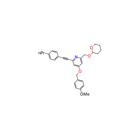 CCCc1ccc(C#Cc2cc(OCc3ccc(OC)cc3)cc(COC3CCCCO3)n2)cc1